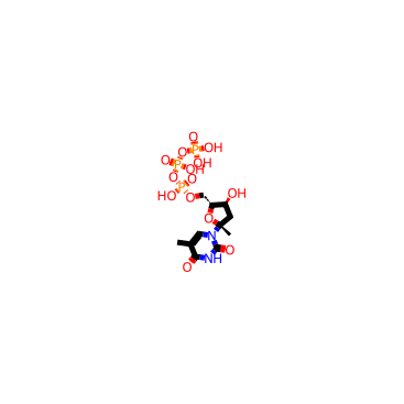 Cc1cn([C@@]2(C)C[C@H](O)[C@@H](COP(=O)(O)OP(=O)(O)OP(=O)(O)O)O2)c(=O)[nH]c1=O